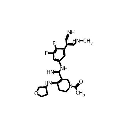 CN/C=C(\C=N)c1cc(NC(=N)C2=C(NC3CCOC3)CCN(C(C)=O)C2)cc(F)c1F